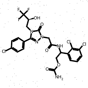 NC(=O)OCC(NC(=O)Cn1nc(-c2ccc(Cl)cc2)n(C[C@H](O)C(F)(F)I)c1=O)c1cccc(Cl)c1Cl